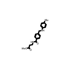 COC(=O)CCNC(=O)c1ccc(CNc2ccc(C(C)(C)C)cc2)cc1